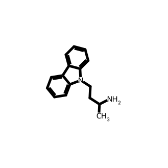 CC(N)CCn1c2ccccc2c2ccccc21